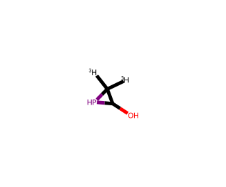 [3H]C1([3H])PC1O